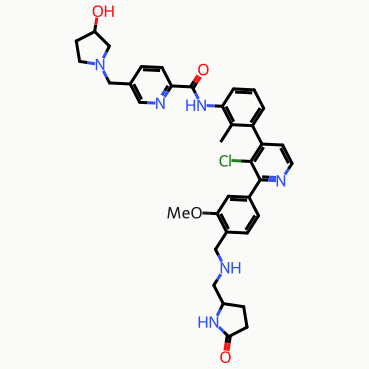 COc1cc(-c2nccc(-c3cccc(NC(=O)c4ccc(CN5CCC(O)C5)cn4)c3C)c2Cl)ccc1CNCC1CCC(=O)N1